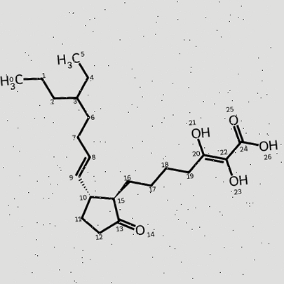 CCCC(CC)CC/C=C/[C@H]1CCC(=O)[C@@H]1CCCC/C(O)=C(\O)C(=O)O